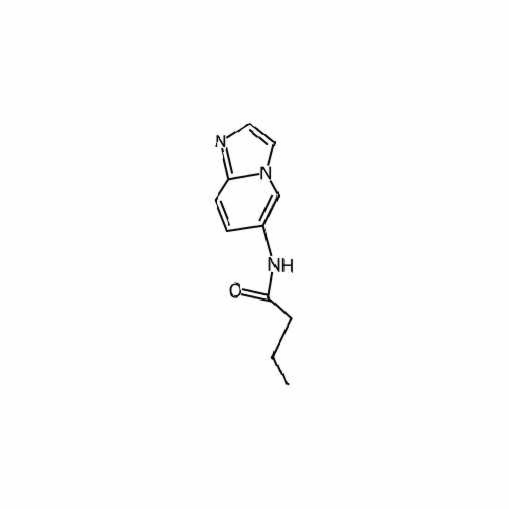 CCCC(=O)Nc1ccc2nccn2c1